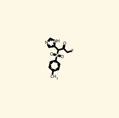 Cc1ccc(S(=O)(=O)C(C(=O)CF)c2cnc[nH]2)cc1